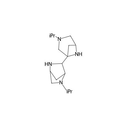 CC(C)N1CC2CC(C3NC4CC3N(C(C)C)C4)(C1)N2